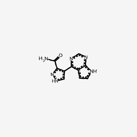 NC(=O)c1n[nH]cc1-c1ncnc2[nH]ccc12